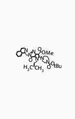 COC(=O)c1c(N2CCCN(C(=O)OC(C)(C)C)CC2)n(CC=C(C)C)c2c(=O)n(Cc3nccc4ccccc34)cnc12